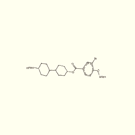 CCCCCCOc1ccc(C(=O)OC2CCC(C3CCC(CCCCCC)CC3)CC2)cc1Br